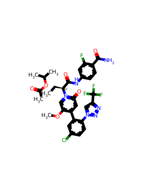 CC(=O)OC(C)C.CC[C@@H](C(=O)Nc1ccc(C(N)=O)c(F)c1)n1cc(OC)c(-c2cc(Cl)ccc2-n2cc(C(F)(F)F)nn2)cc1=O